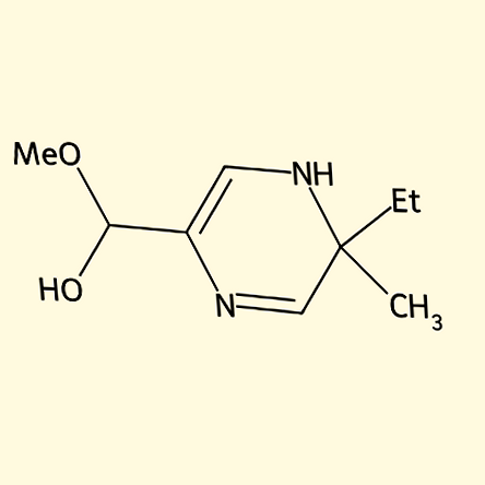 CCC1(C)C=NC(C(O)OC)=CN1